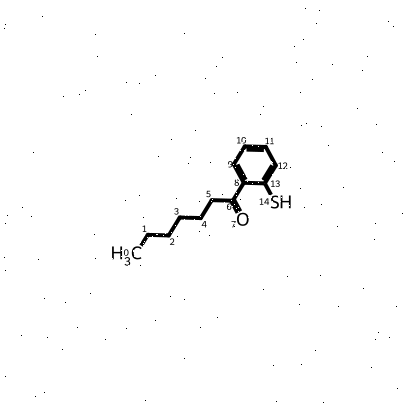 CCCCCCC(=O)c1ccccc1S